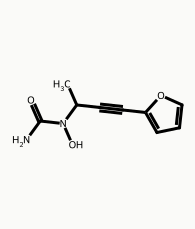 CC(C#Cc1ccco1)N(O)C(N)=O